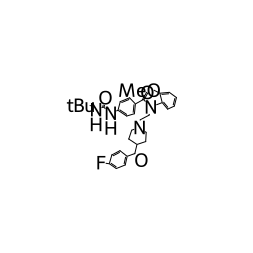 COc1ccccc1N(CCN1CCC(C(=O)c2ccc(F)cc2)CC1)C(=O)c1ccc(NC(=O)NC(C)(C)C)cc1